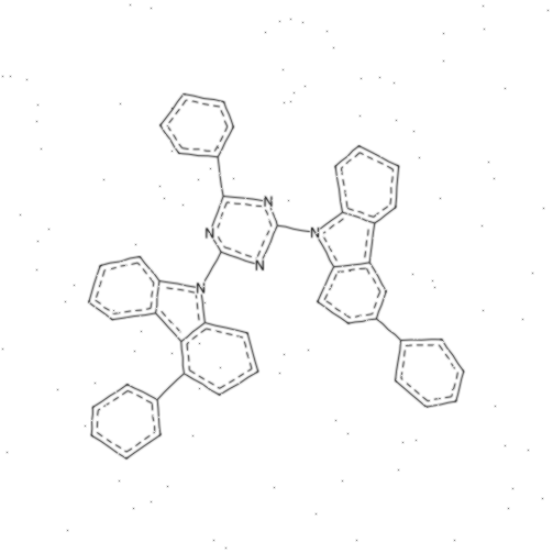 c1ccc(-c2ccc3c(c2)c2ccccc2n3-c2nc(-c3ccccc3)nc(-n3c4ccccc4c4c(-c5ccccc5)cccc43)n2)cc1